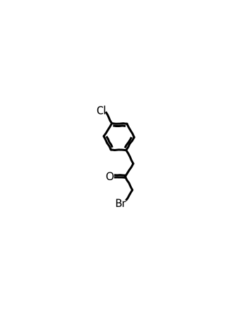 O=C(CBr)Cc1ccc(Cl)cc1